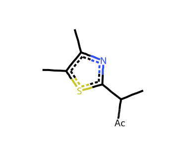 CC(=O)C(C)c1nc(C)c(C)s1